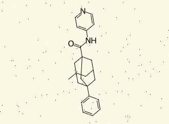 CC12CC3CC(C(=O)Nc4ccncc4)(C1)CC(c1ccccc1)(C3)C2